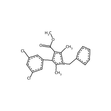 COC(=O)c1c(-c2cc(Cl)cc(Cl)c2)c(C)n(Cc2ccccc2)c1C